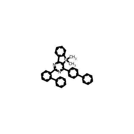 C[Si]1(C)c2ccccc2-c2nc(-c3ccccc3-c3ccccc3)nc(-c3ccc(-c4ccccc4)cc3)c21